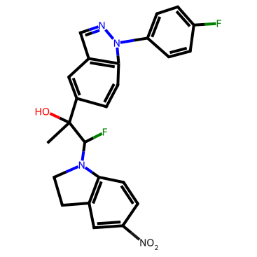 CC(O)(c1ccc2c(cnn2-c2ccc(F)cc2)c1)C(F)N1CCc2cc([N+](=O)[O-])ccc21